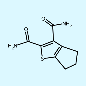 NC(=O)c1sc2c(c1C(N)=O)CCC2